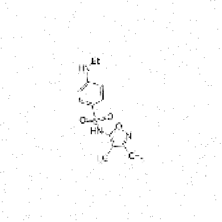 CCNc1ccc(S(=O)(=O)Nc2onc(C)c2C)cc1